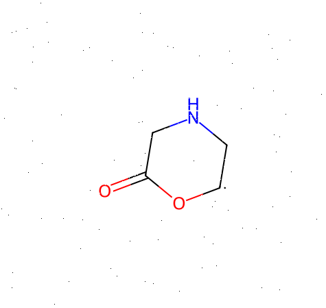 O=C1CNC[CH]O1